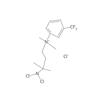 CC(C)(CC[N+](C)(C)c1cccc(C(F)(F)F)c1)N(Cl)Cl.[Cl-]